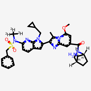 [2H]C([2H])([2H])N(c1ccc2cc(-c3nc4cc(C(=O)N5C[C@H]6CC[C@@H]5[C@@H]6N)cc(OC)n4c3C)n(CC3CC3)c2n1)S(=O)(=O)Cc1ccccc1